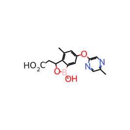 Cc1cnc(Oc2cc(C)c3c(c2)B(O)OC3CC(=O)O)cn1